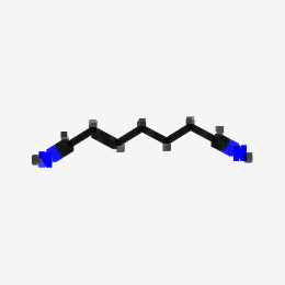 N#CC=CCCCC#N